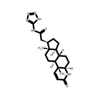 C[C@]12C=CC(=O)N[C@@H]1CC[C@@H]1[C@@H]2CC[C@]2(C)[C@@H](CC(=O)Nc3nnn[nH]3)CC[C@@H]12